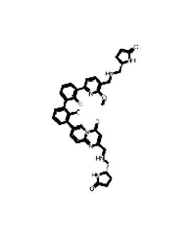 COc1nc(-c2cccc(-c3cccc(-c4ccc5nc(CNC[C@@H]6CCC(=O)N6)cc(=O)n5c4)c3Cl)c2Cl)ccc1CNC[C@H]1CCC(=O)N1